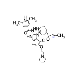 C/C=C/C(=O)N1CCCC[C@@H](N2c3c(ccc(OCCN4CCCC4)c3Cl)NC2N(N)C(=O)C2=CC(C)NC(C)=C2)C1